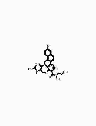 COc1ccc2cc(Br)ccc2c1CN1C(=O)C(NC(=O)O)COc2c(C(=O)N(C)CCO)cccc21